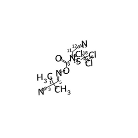 CC(C)(C#N)C=NOC(=O)N(CC#N)SC(Cl)(Cl)Cl